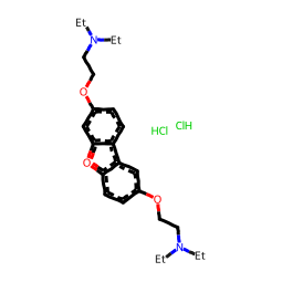 CCN(CC)CCOc1ccc2c(c1)oc1ccc(OCCN(CC)CC)cc12.Cl.Cl